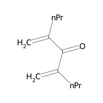 C=C(CCC)C(=O)C(=C)CCC